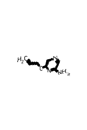 C=CCOc1cncc(N)n1